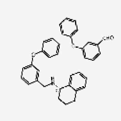 O=Cc1cccc(Oc2ccccc2)c1.c1ccc(Oc2cccc(CN[C@H]3CCCc4ccccc43)c2)cc1